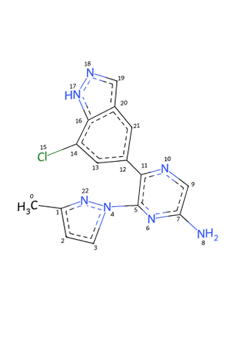 Cc1ccn(-c2nc(N)cnc2-c2cc(Cl)c3[nH]ncc3c2)n1